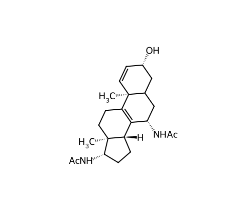 CC(=O)N[C@H]1CC2C[C@@H](O)C=C[C@]2(C)C2=C1[C@@H]1CC[C@H](NC(C)=O)[C@@]1(C)CC2